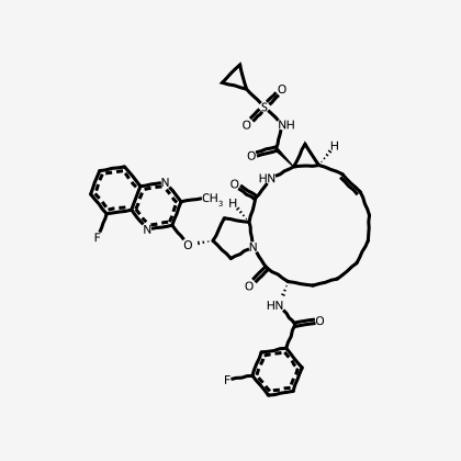 Cc1nc2cccc(F)c2nc1O[C@@H]1C[C@H]2C(=O)N[C@]3(C(=O)NS(=O)(=O)C4CC4)C[C@H]3C=CCCCCC[C@H](NC(=O)c3cccc(F)c3)C(=O)N2C1